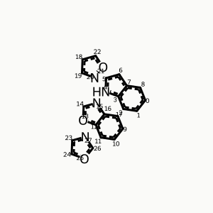 c1ccc2[nH]ccc2c1.c1ccc2ocnc2c1.c1cnoc1.c1cocn1